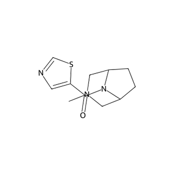 CN1CC2CCC(C1)N2C(=O)c1cncs1